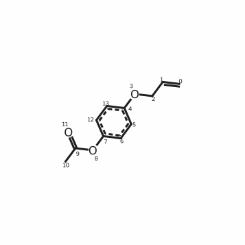 C=CCOc1ccc(OC(C)=O)cc1